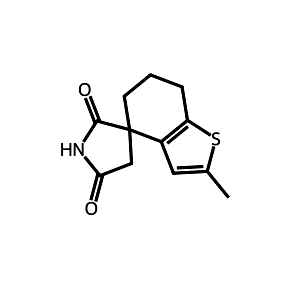 Cc1cc2c(s1)CCCC21CC(=O)NC1=O